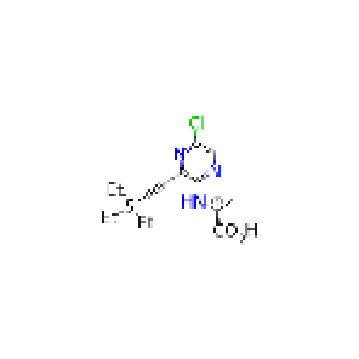 CC[Si](C#Cc1nc(Cl)cnc1N[C@@H](C)C(=O)O)(CC)CC